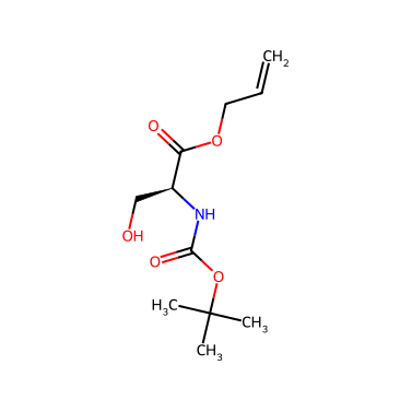 C=CCOC(=O)[C@H](CO)NC(=O)OC(C)(C)C